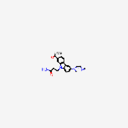 C=N/C=C\N(C)c1ccc2c(c1)c1ccc(C(=O)OC)cc1n2CCC(N)=O